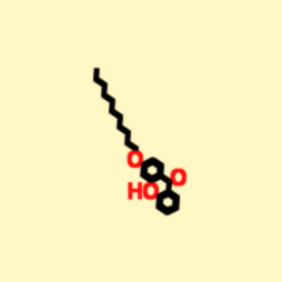 CCCCCCCCCCCOc1ccc(C(=O)c2ccccc2)c(O)c1